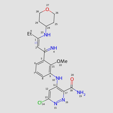 CC/C(=C/C(=N)c1cccc(Nc2cc(Cl)nnc2C(N)=O)c1OC)NC1CCOCC1